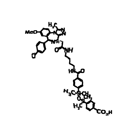 COc1ccc2c(c1)C(c1ccc(Cl)cc1)=N[C@@H](CC(=O)NCCCCNC(=O)c1ccc([Si](C)(C)O[Si](C)(C)c3ccc(C(=O)O)cc3)cc1)c1nnc(C)n1-2